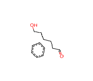 O=CCCCCCO.c1ccccc1